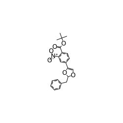 CC(C)(C)OC(=O)c1ccc(C2=COC(Cc3ccccc3)O2)cc1[N+](=O)[O-]